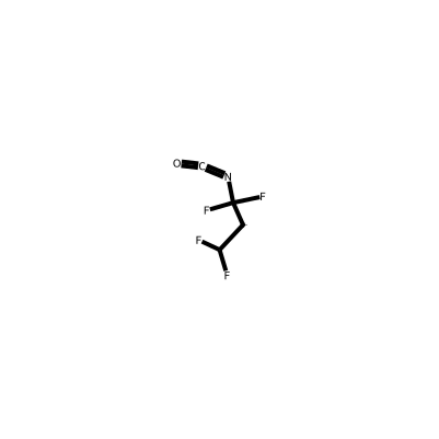 O=C=NC(F)(F)[CH]C(F)F